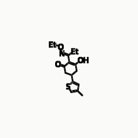 CCON=C(CC)C1=C(O)CC(c2cc(C)cs2)CC1=O